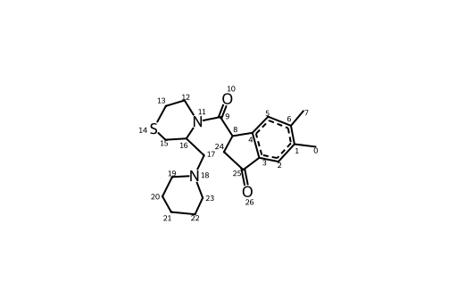 Cc1cc2c(cc1C)C(C(=O)N1CCSCC1CN1CCCCC1)CC2=O